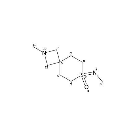 CN=S1(=O)CCC2(CC1)CN(C)C2